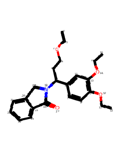 CCOCCC(c1ccc(OCC)c(OCC)c1)N1Cc2ccccc2C1=O